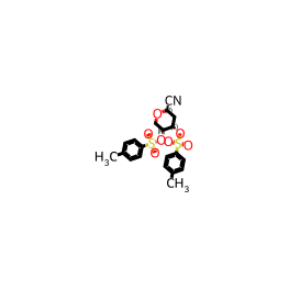 Cc1ccc(S(=O)(=O)O[C@H]2C[C@H](C#N)OC[C@H]2OS(=O)(=O)c2ccc(C)cc2)cc1